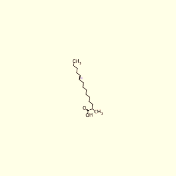 CCCC/C=C/CCCCCCCC(C)C(=O)O